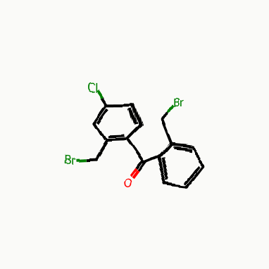 O=C(c1ccccc1CBr)c1ccc(Cl)cc1CBr